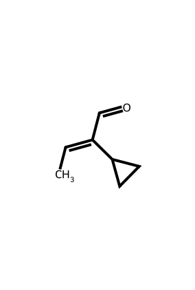 C/C=C(/C=O)C1CC1